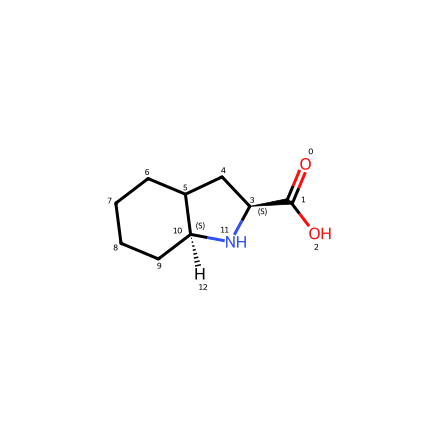 O=C(O)[C@@H]1CC2CCCC[C@@H]2N1